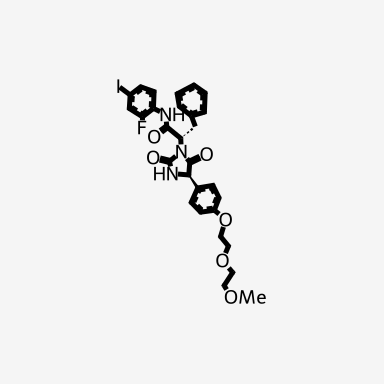 COCCOCCOc1ccc([C@H]2NC(=O)N([C@@H](Cc3ccccc3)C(=O)Nc3ccc(I)cc3F)C2=O)cc1